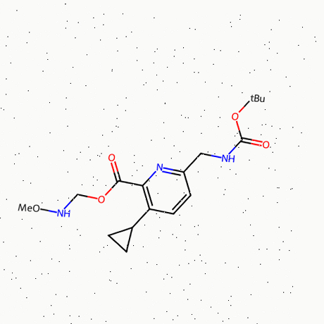 CONCOC(=O)c1nc(CNC(=O)OC(C)(C)C)ccc1C1CC1